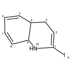 IC1=CCC2C=CC=CC2N1